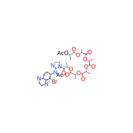 CC(=O)OC(C)C(=O)OC(C)C(=O)OC(C)C(=O)OC(C)C(=O)OC(C)C(=O)OC(C)C(=O)N1CCN=C1N(C(C)=O)c1ccc2nccnc2c1Br